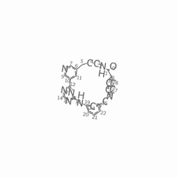 O=C1NCCCc2cncc(c2)-c2ncnc(n2)Nc2cccc(c2)CN2CCC1CC2